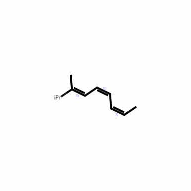 C\C=C/C=C\C=C(/C)C(C)C